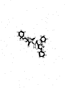 C=C(NN1C(=C)NC(C)(CCC2(C)C=CC=CC2)C1=C)c1cc(-c2ccccc2)nn1-c1ccccc1